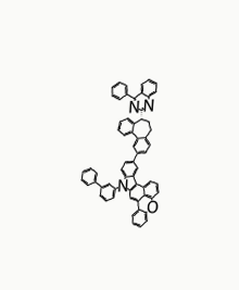 c1ccc(-c2cccc(-n3c4ccc(-c5ccc6c(c5)-c5ccccc5[C@H](c5nc(-c7ccccc7)c7ccccc7n5)CC6)cc4c4c5cccc6c5c(cc43)-c3ccccc3O6)c2)cc1